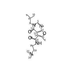 Cc1oc2ncn(CC(C)C)c(=O)c2c1C(=O)NCCN(C)C